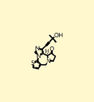 CC(C)(O)C#Cc1ncn2c1[C@H]1C(=O)CCN1Cc1ccsc1-2